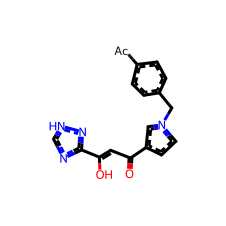 CC(=O)c1ccc(Cn2ccc(C(=O)C=C(O)c3nc[nH]n3)c2)cc1